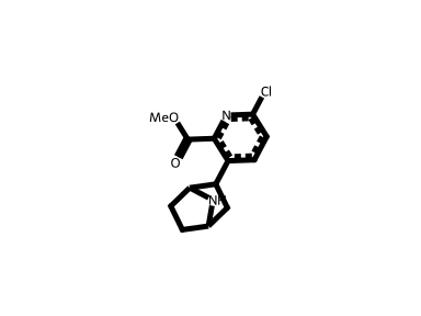 COC(=O)c1nc(Cl)ccc1C1CC2CCC1N2